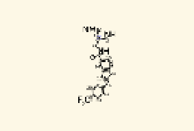 CN/C=C(\C=N)CNC(=O)c1cnc2c(c1)CN(Cc1ccc(C(F)(F)F)cc1)C2